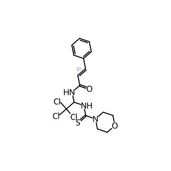 O=C(/C=C/c1ccccc1)NC(NC(=S)N1CCOCC1)C(Cl)(Cl)Cl